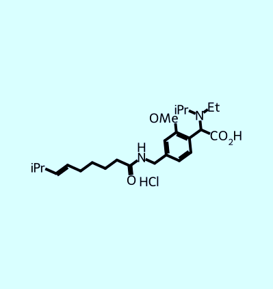 CCN(C(C)C)C(C(=O)O)c1ccc(CNC(=O)CCCCC=CC(C)C)cc1OC.Cl